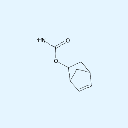 [NH]C(=O)OC1CC2C=CC1C2